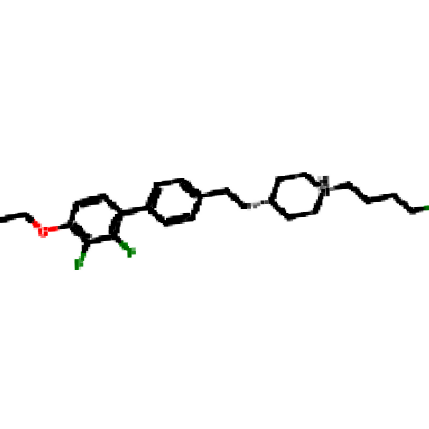 CCOc1ccc(-c2ccc(CC[C@H]3CC[Si@H](CCCCF)CC3)cc2)c(F)c1F